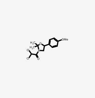 COc1ccc(C2CN(C(=O)C(Cl)Cl)C(C)(C)O2)cc1